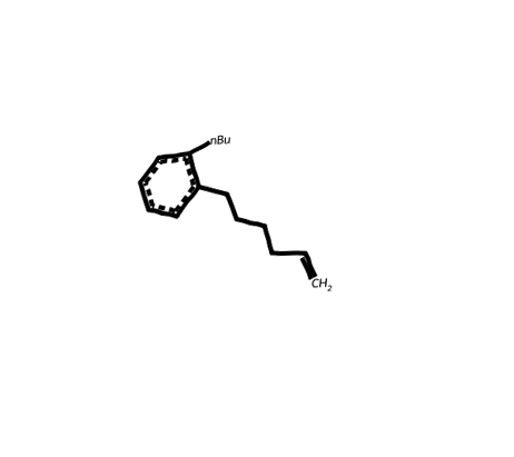 C=CCCCCc1ccccc1CCCC